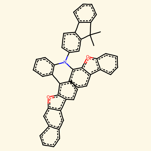 CC1(C)c2ccccc2-c2ccc(N(c3ccccc3-c3cccc4c3oc3cc5ccccc5cc34)c3cccc4c3oc3ccccc34)cc21